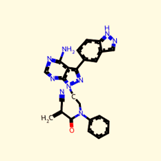 C=C(C#N)C(=O)N(CCn1nc(-c2ccc3[nH]ncc3c2)c2c(N)ncnc21)c1ccccc1